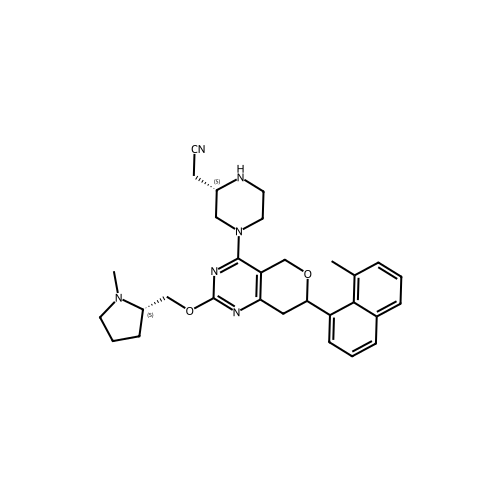 Cc1cccc2cccc(C3Cc4nc(OC[C@@H]5CCCN5C)nc(N5CCN[C@@H](CC#N)C5)c4CO3)c12